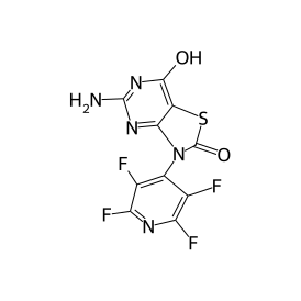 Nc1nc(O)c2sc(=O)n(-c3c(F)c(F)nc(F)c3F)c2n1